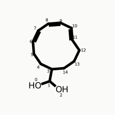 OC(O)C1CC\C=C/C=C\C=C\CCC1